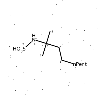 CCCCCCCC(C)(C)NS(=O)(=O)O